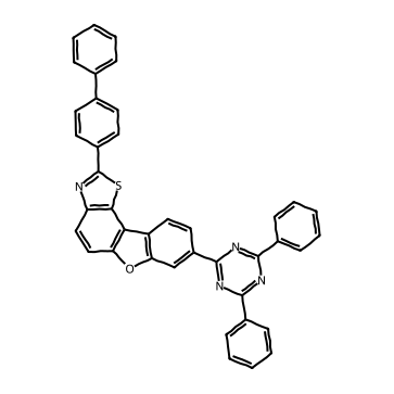 c1ccc(-c2ccc(-c3nc4ccc5oc6cc(-c7nc(-c8ccccc8)nc(-c8ccccc8)n7)ccc6c5c4s3)cc2)cc1